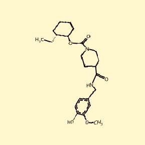 CC[C@@H]1CCCC[C@H]1OC(=O)N1CCC(C(=O)NCc2ccc(O)c(OC)c2)CC1